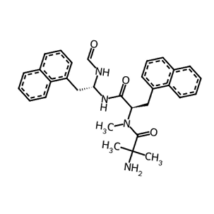 CN(C(=O)C(C)(C)N)[C@H](Cc1cccc2ccccc12)C(=O)N[C@H](Cc1cccc2ccccc12)NC=O